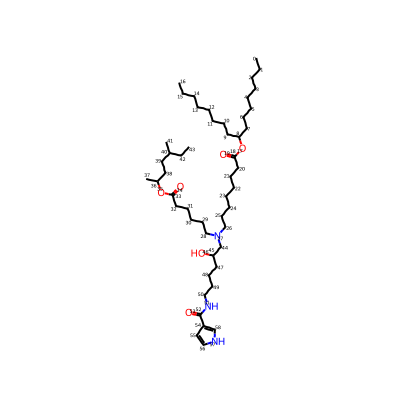 CCCCCCCCC(CCCCCCCC)OC(=O)CCCCCCCN(CCCCCC(=O)OC(C)CCC(C)CC)CC(O)CCCCNC(=O)c1cc[nH]c1